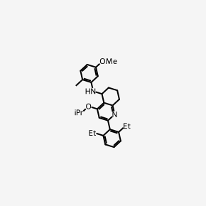 CCc1cccc(CC)c1-c1cc(OC(C)C)c2c(n1)CCCC2Nc1cc(OC)ccc1C